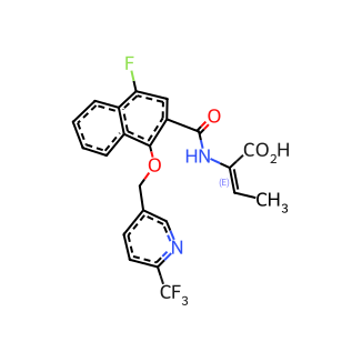 C/C=C(/NC(=O)c1cc(F)c2ccccc2c1OCc1ccc(C(F)(F)F)nc1)C(=O)O